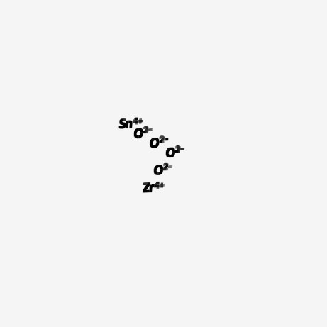 [O-2].[O-2].[O-2].[O-2].[Sn+4].[Zr+4]